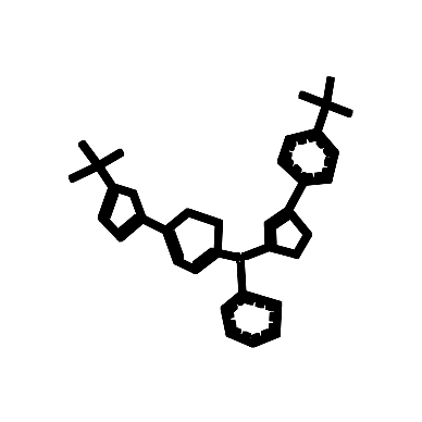 CC(C)(C)C1=CC=C(C2=CC=C(N(C3=C=C(c4ccc(C(C)(C)C)cc4)CC3)c3ccccc3)CC2)C1